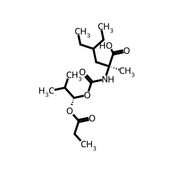 CCC(=O)O[C@@H](OC(=O)N[C@@](C)(CC(CC)CC)C(=O)O)C(C)C